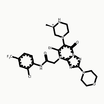 CCc1c(N2CCN[C@H](C)C2)c(=O)n2nc(N3CCOCC3)nc2n1CC(=O)Nc1ccc(C(F)(F)F)cc1Cl